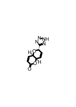 O=C1C=C[C@H]2O[C@H](c3nn[nH]n3)C=C[C@H]2O1